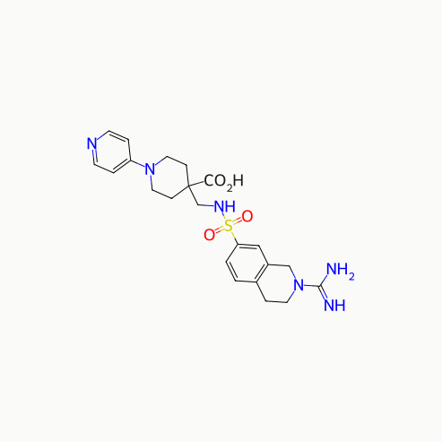 N=C(N)N1CCc2ccc(S(=O)(=O)NCC3(C(=O)O)CCN(c4ccncc4)CC3)cc2C1